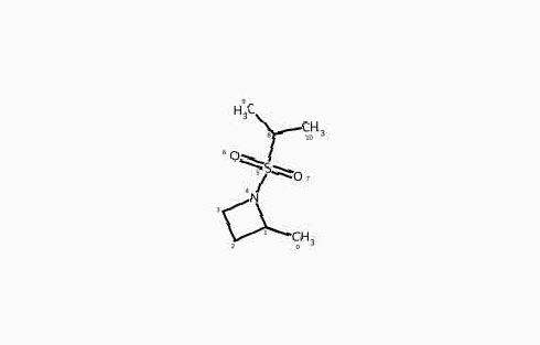 CC1CCN1S(=O)(=O)C(C)C